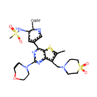 COc1ncc(-c2nc(N3CCOCC3)nc3c(CN4CCS(=O)(=O)CC4)c(C)sc23)cc1NS(C)(=O)=O